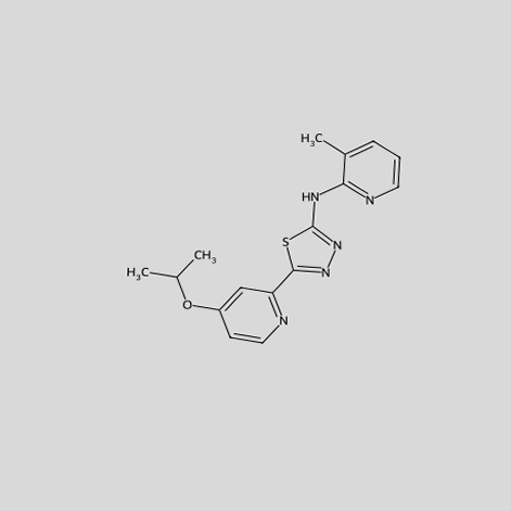 Cc1cccnc1Nc1nnc(-c2cc(OC(C)C)ccn2)s1